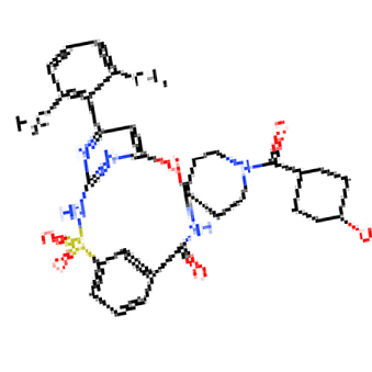 Cc1cccc(C)c1-c1cc2nc(n1)NS(=O)(=O)c1cccc(c1)C(=O)NC1(CCN(C(=O)C3CCC(O)CC3)CC1)O2